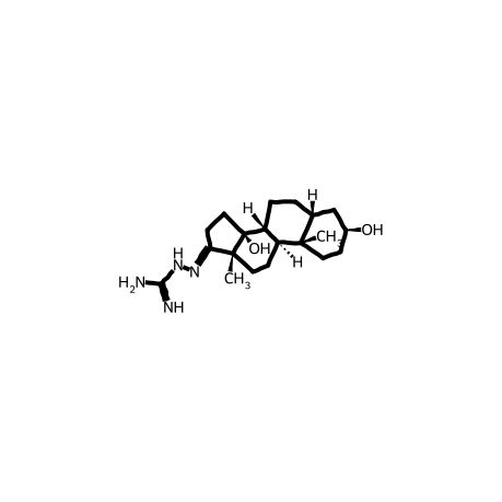 C[C@]12CC[C@H](O)C[C@H]1CC[C@@H]1[C@@H]2CC[C@]2(C)/C(=N/NC(=N)N)CC[C@]12O